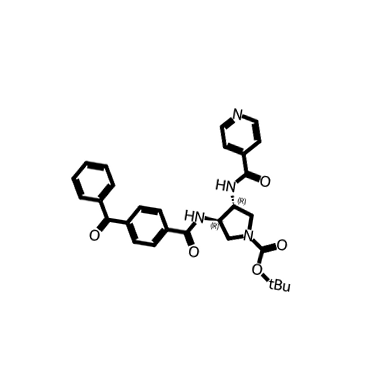 CC(C)(C)OC(=O)N1C[C@@H](NC(=O)c2ccncc2)[C@H](NC(=O)c2ccc(C(=O)c3ccccc3)cc2)C1